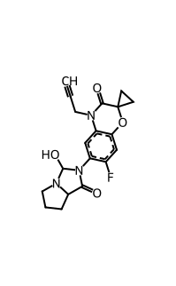 C#CCN1C(=O)C2(CC2)Oc2cc(F)c(N3C(=O)C4CCCN4C3O)cc21